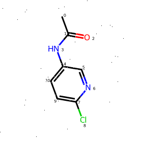 CC(=O)Nc1[c]nc(Cl)cc1